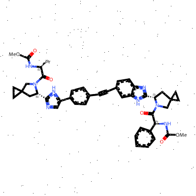 COC(=O)N[C@H](C(=O)N1CC2(CC2)C[C@H]1c1nc2ccc(C#Cc3ccc(-c4cnc([C@@H]5CC6(CC6)CN5C(=O)[C@@H](NC(=O)OC)C(C)C)[nH]4)cc3)cc2[nH]1)c1ccccc1